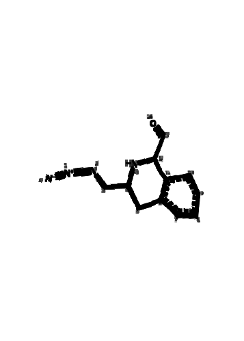 [N-]=[N+]=NCC1Cc2ccccc2C(C=O)N1